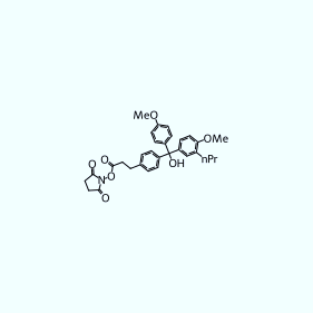 CCCc1cc(C(O)(c2ccc(CCC(=O)ON3C(=O)CCC3=O)cc2)c2ccc(OC)cc2)ccc1OC